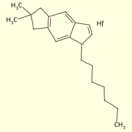 CCCCCCC[C]1C=Cc2cc3c(cc21)CC(C)(C)C3.[Hf]